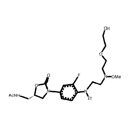 CCN(CCN(CCOCCO)OC)c1ccc(N2C[C@H](CNC(C)=O)OC2=O)cc1F